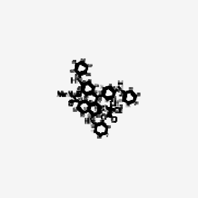 CCC(C)(C)C(=O)OC1CCCCC1Nc1ccc(C(c2ccc(Nc3ccccc3)cc2)c2ccc(Nc3ccccc3)cc2)c2cc(S(=O)(=O)NC)ccc12